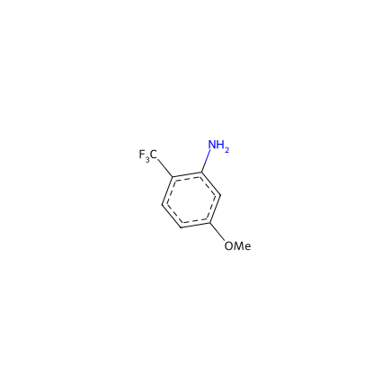 COc1ccc(C(F)(F)F)c(N)c1